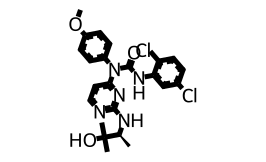 COc1ccc(N(C(=O)Nc2cc(Cl)ccc2Cl)c2ccnc(N[C@@H](C)C(C)(C)O)n2)cc1